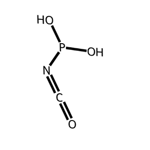 O=C=NP(O)O